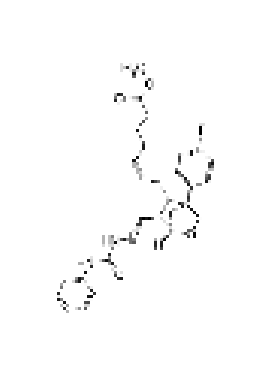 COC(=O)CCC/C=C\C[C@H]1[C@H](C=NNC(=O)Nc2ccccc2)[C@@H]2C[C@@]1(c1ccc(F)cc1)CO2